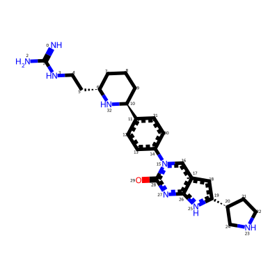 N=C(N)NCC[C@@H]1CCC[C@@H](c2ccc(-n3cc4cc([C@@H]5CCNC5)[nH]c4nc3=O)cc2)N1